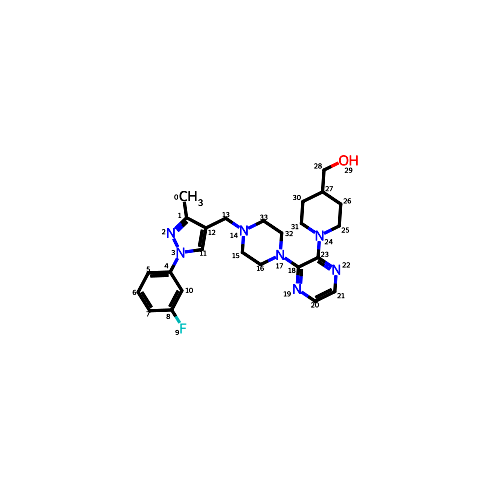 Cc1nn(-c2cccc(F)c2)cc1CN1CCN(c2nccnc2N2CCC(CO)CC2)CC1